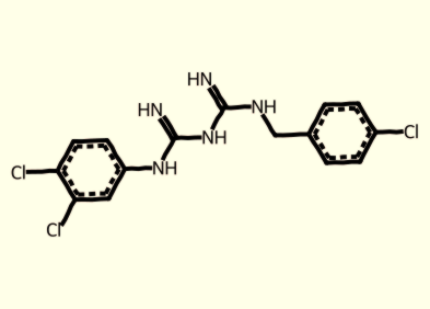 N=C(NCc1ccc(Cl)cc1)NC(=N)Nc1ccc(Cl)c(Cl)c1